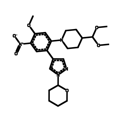 COc1cc(N2CCC(C(OC)OC)CC2)c(-c2cnn(C3CCCCO3)c2)cc1[N+](=O)[O-]